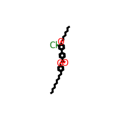 CCCCCCCCCCc1ccc(OC(=O)c2ccc(-c3ccc(OCCCCCCC)c(Cl)c3)cc2)cc1